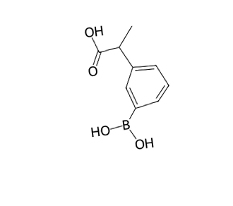 CC(C(=O)O)c1cccc(B(O)O)c1